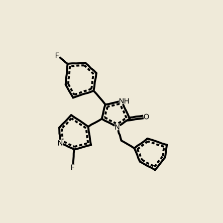 O=c1[nH]c(-c2ccc(F)cc2)c(-c2ccnc(F)c2)n1Cc1ccccc1